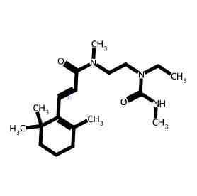 CCN(CCN(C)C(=O)/C=C/C1=C(C)CCCC1(C)C)C(=O)NC